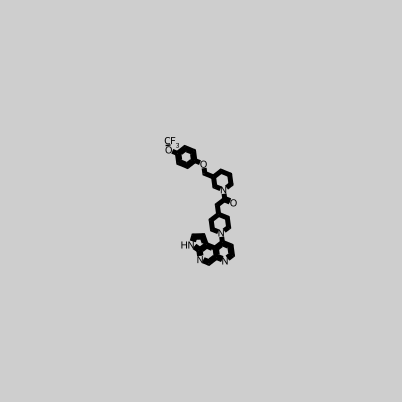 O=C(CC1CCN(c2ccnc3cnc4[nH]ccc4c23)CC1)N1CCCC(COc2ccc(OC(F)(F)F)cc2)C1